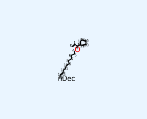 C=CC(OCCCCCCCCCCCCCCCCCCCCC)c1ccccc1